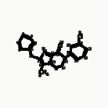 Cc1c(Cc2ccccc2)nc2n1CCN(c1cccc(Cl)c1)C2=O